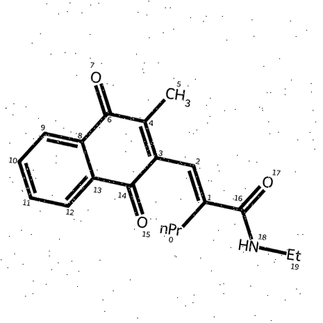 CCC/C(=C\C1=C(C)C(=O)c2ccccc2C1=O)C(=O)NCC